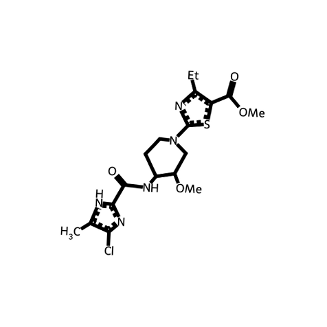 CCc1nc(N2CCC(NC(=O)c3nc(Cl)c(C)[nH]3)C(OC)C2)sc1C(=O)OC